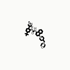 Cn1cc(-c2ccc(C(C)(C)C)cc2NC(=O)Nc2ccc(N3CCC(CN4CCOCC4)CC3)c3ccccc23)cn1